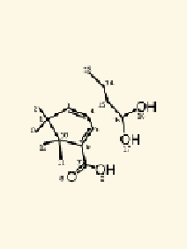 CC1(C)C=CC=C(C(=O)O)C1(C)C.CCCC(O)O